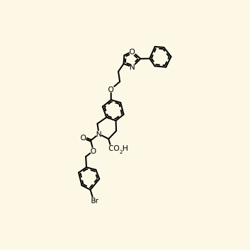 O=C(O)C1Cc2ccc(OCCc3coc(-c4ccccc4)n3)cc2CN1C(=O)OCc1ccc(Br)cc1